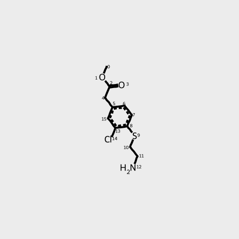 COC(=O)Cc1ccc(SCCN)c(Cl)c1